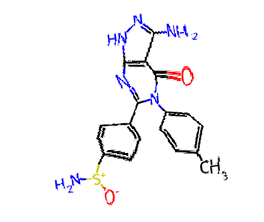 Cc1ccc(-n2c(-c3ccc([S+](N)[O-])cc3)nc3[nH]nc(N)c3c2=O)cc1